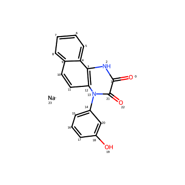 O=c1[nH]c2c3ccccc3ccc2n(-c2cccc(O)c2)c1=O.[Na]